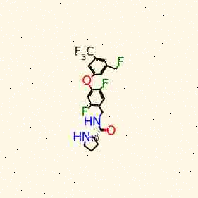 O=C(NCc1cc(F)c(Oc2cc(CF)cc(C(F)(F)F)c2)cc1F)[C@@H]1CCCN1